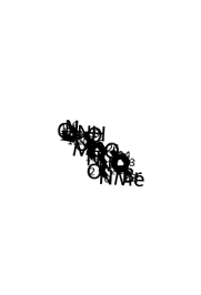 CNC(=O)N(c1ccc(S(=O)(=O)Nc2ccon2)cn1)c1cc(Br)ccc1OC